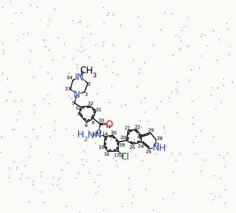 CN1CCN(Cc2ccc(C(=O)N(N)c3ccc(Cl)c(-c4ccc5c(c4)=CNCC=5)c3)cc2)CC1